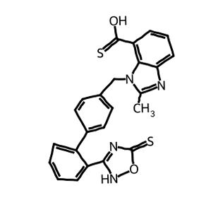 Cc1nc2cccc(C(O)=S)c2n1Cc1ccc(-c2ccccc2-c2nc(=S)o[nH]2)cc1